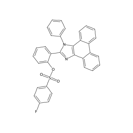 O=S(=O)(Oc1ccccc1-c1nc2c3ccccc3c3ccccc3c2n1-c1ccccc1)c1ccc(F)cc1